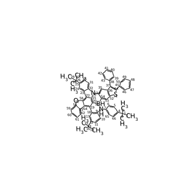 CC(C)(C)c1ccc(Nc2ccc(C(C)(C)C)cc2-c2c3c4c(c5cc(C(C)(C)C)ccc5n4-c4cc5c(-c6ccccc6)c(-c6ccccc6)sc5cc4B3)c3oc4ccccc4c23)cc1